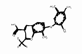 Cc1cc(Cl)c(Oc2ccc3c(c2C)OC(C(F)(F)F)C(C(=O)O)=C3)cc1C